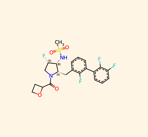 CS(=O)(=O)N[C@H]1[C@@H](F)CN(C(=O)C2CCO2)[C@H]1Cc1cccc(-c2cccc(F)c2F)c1F